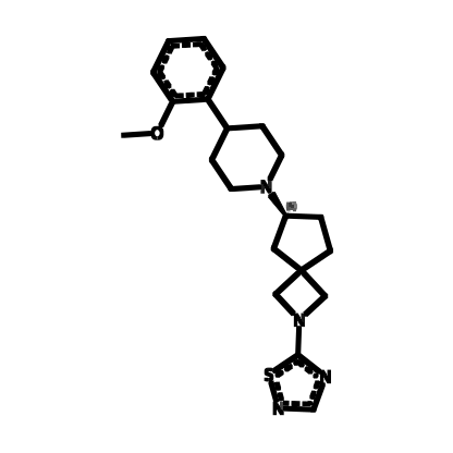 COc1ccccc1C1CCN([C@H]2CCC3(C2)CN(c2ncns2)C3)CC1